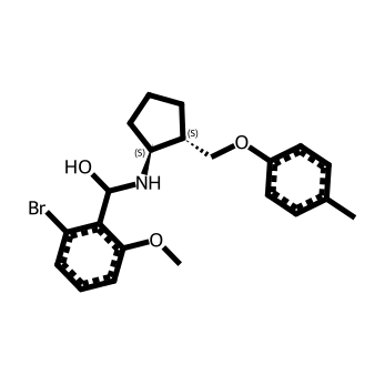 COc1cccc(Br)c1C(O)N[C@H]1CCC[C@@H]1COc1ccc(C)cc1